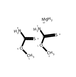 COC(N)=S.COC(N)=S.[MgH2]